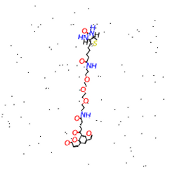 O=C(CCCC[C@@H]1SC[C@@H]2NC(=O)N[C@@H]21)NCCCOCCOCCOCCCNC(=O)CCCC(=O)c1c2occc2cc2ccc(=O)oc12